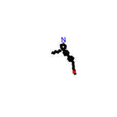 CCCCCCCc1ccc(-c2ccc([C@]3(CCCCCC)CC[C@@H](C#N)CC3)cc2)cc1